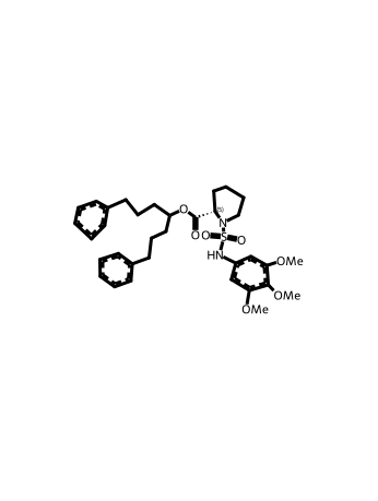 COc1cc(NS(=O)(=O)N2CCCC[C@H]2C(=O)OC(CCCc2ccccc2)CCCc2ccccc2)cc(OC)c1OC